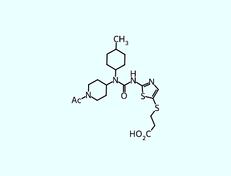 CC(=O)N1CCC(N(C(=O)Nc2ncc(SCCC(=O)O)s2)C2CCC(C)CC2)CC1